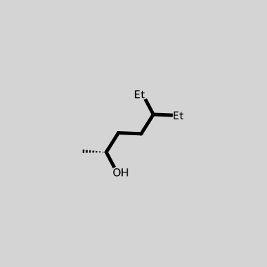 CCC(CC)CC[C@@H](C)O